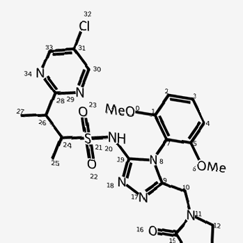 COc1cccc(OC)c1-n1c(CN2CCCC2=O)nnc1NS(=O)(=O)C(C)C(C)c1ncc(Cl)cn1